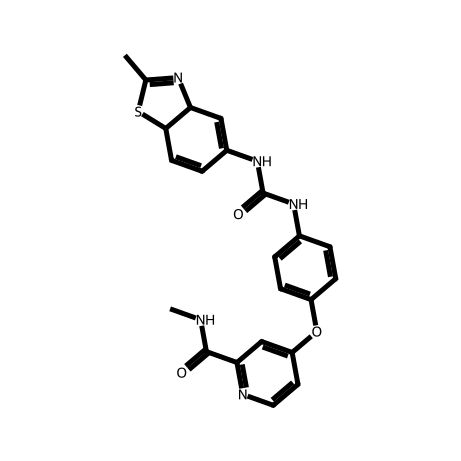 CNC(=O)c1cc(Oc2ccc(NC(=O)NC3=CC4N=C(C)SC4C=C3)cc2)ccn1